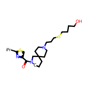 CC(C)c1nc(C(=O)N2CCCC3(CCN(CCCSCCCCO)CC3)C2)cs1